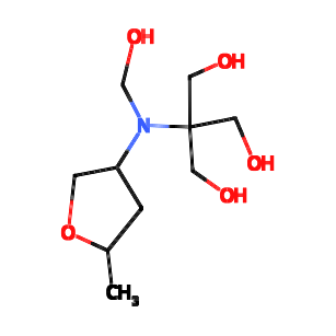 CC1CC(N(CO)C(CO)(CO)CO)CO1